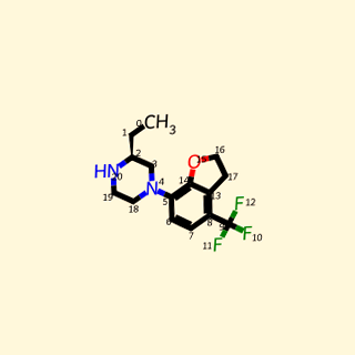 CC[C@H]1CN(c2ccc(C(F)(F)F)c3c2OCC3)CCN1